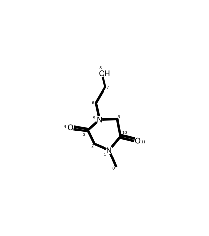 CN1CC(=O)N(CCO)CC1=O